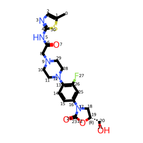 Cc1cnc(NC(=O)CN2CCN(c3ccc(N4C[C@H](CO)OC4=O)cc3F)CC2)s1